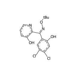 CC(C)(C)O/N=C(/c1cc(Cl)c(Cl)cc1O)c1ncccc1O